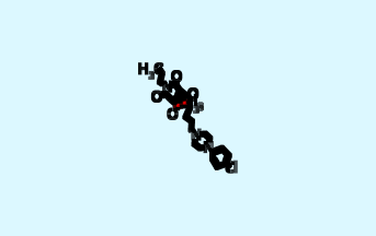 CCCN1C(=O)C2C(=O)N(CCCCN3CCN(c4ccc(Cl)cc4)CC3)C(=O)C(C1=O)C2(C)C